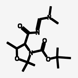 CC1OC(C)(C)N(C(=O)OC(C)(C)C)C1C(=O)/N=C/N(C)C